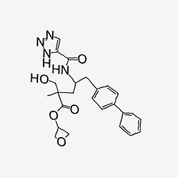 CC(CO)(CC(Cc1ccc(-c2ccccc2)cc1)NC(=O)c1cnn[nH]1)C(=O)OC1COC1